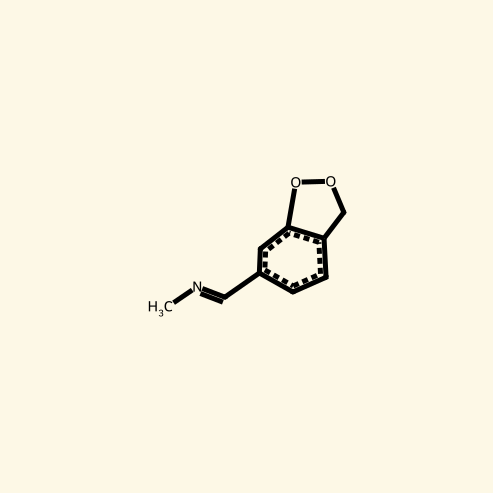 CN=Cc1ccc2c(c1)OOC2